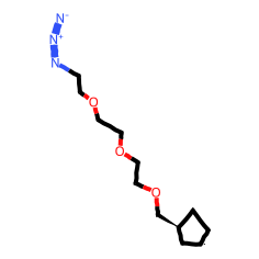 [N-]=[N+]=NCCOCCOCCOC[C@@H]1C[CH]CC1